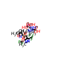 CNC.Cn1nc(C(F)(F)F)c(CS(=O)(=O)C2=NOC(C)(C)C2)c1OC(F)F.O=C(O)CNCP(=O)(O)O